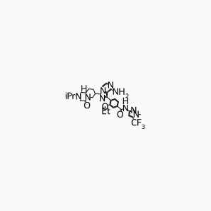 CCOc1cc(C(=O)Nc2cc(C(F)(F)F)n(C)n2)ccc1-c1nc(C2CC[C@@H]3CN(C(C)C)CC(=O)N3C2)n2ccnc(N)c12